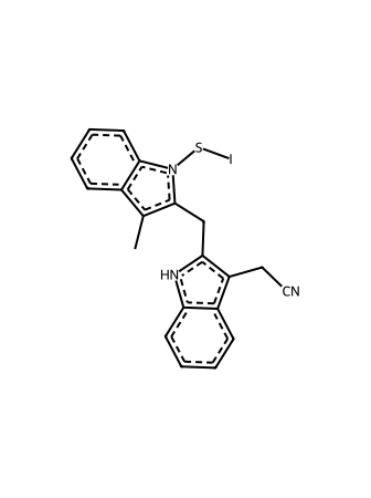 Cc1c(Cc2[nH]c3ccccc3c2CC#N)n(SI)c2ccccc12